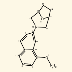 NOc1ccnc2ccc(N3CC4CCC(C3)O4)cc12